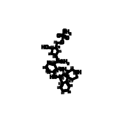 Nc1c(N[C@H]2CC3(CCNCC3)c3ccccc32)ncnc1N(N)C1CC(O)C(COS(N)(=O)=O)C1